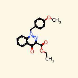 CCOC(=O)c1nn(Cc2ccc(OC)cc2)c2ccccc2c1=O